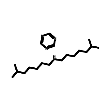 CC(C)CCCCCNCCCCCC(C)C.c1ncncn1